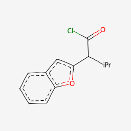 CC(C)C(C(=O)Cl)c1cc2ccccc2o1